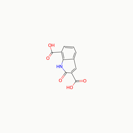 O=C(O)c1cc2cccc(C(=O)O)c2[nH]c1=O